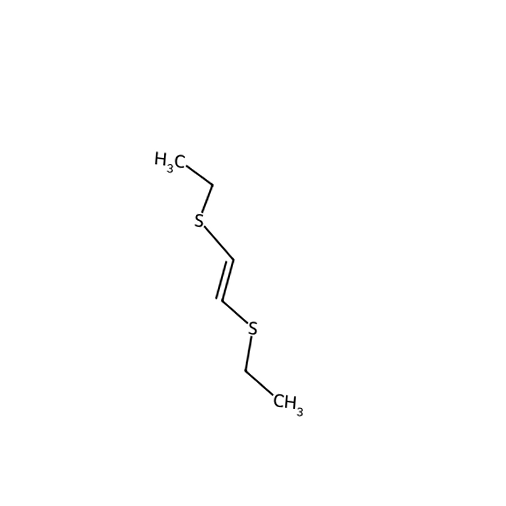 CCSC=CSCC